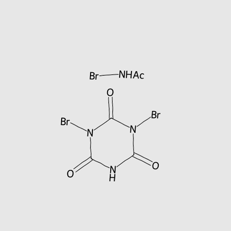 CC(=O)NBr.O=c1[nH]c(=O)n(Br)c(=O)n1Br